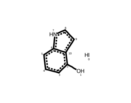 I.Oc1cccc2[nH]ccc12